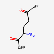 CC(C)COC(=O)C(N)CCC(=O)C(C)C